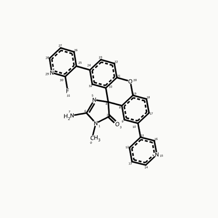 CN1C(=O)C2(N=C1N)c1cc(-c3cccnc3)ccc1Oc1ccc(-c3cccnc3F)cc12